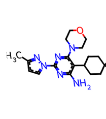 Cc1ccn(-c2nc(N)c(C3CCC(F)(F)CC3)c(N3CCOCC3)n2)n1